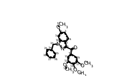 COc1ccc2c(C(=O)c3cc(OC)c(OC)c(OC)c3)nn(Cc3ccccc3)c2c1